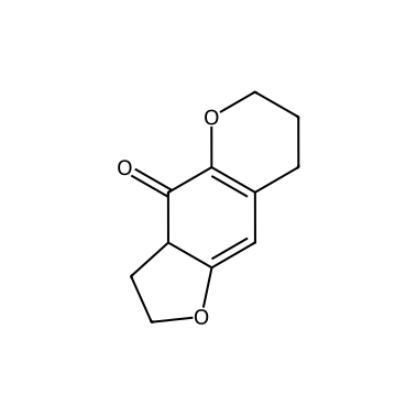 O=C1C2=C(C=C3OCCC13)CCCO2